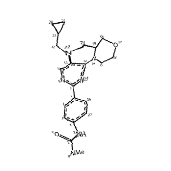 CNC(=O)Nc1ccc(-c2ncc3c(n2)N2CCOCC2CN3CC2CC2)cc1